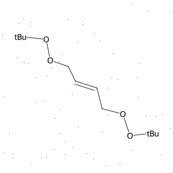 CC(C)(C)OOCC=CCOOC(C)(C)C